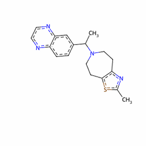 Cc1nc2c(s1)CCN(C(C)c1ccc3nccnc3c1)CC2